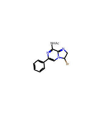 CC(=O)NC1=NC(c2ccccc2)=CN2C1=NCC2Br